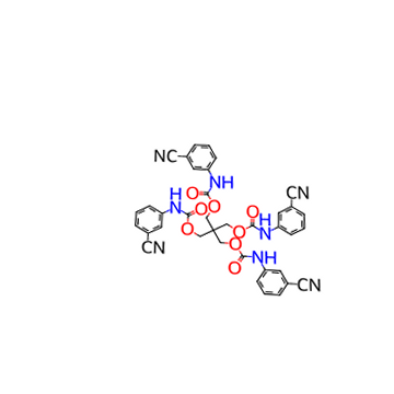 N#Cc1cccc(NC(=O)OCC(COC(=O)Nc2cccc(C#N)c2)(COC(=O)Nc2cccc(C#N)c2)COC(=O)Nc2cccc(C#N)c2)c1